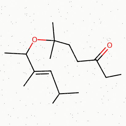 CCC(=O)CCC(C)(C)OC(C)C(C)=CC(C)C